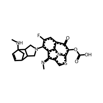 CN=c1c2c(N3CC4C5C=CC(NC)(C5)C4C3)c(F)cc3c(=O)c(OC(=O)O)c4scc1n4c32